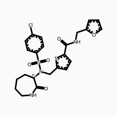 O=C(NCc1ccco1)c1ccc(CN([C@@H]2CCCCNC2=O)S(=O)(=O)c2ccc(Cl)cc2)s1